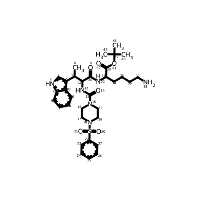 CC(c1c[nH]c2ccccc12)C(NC(=O)N1CCN(S(=O)(=O)c2ccccc2)CC1)C(=O)NC(CCCCN)C(=O)OC(C)(C)C